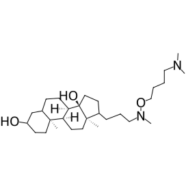 CN(C)CCCCON(C)CCCC1CC[C@@]2(O)[C@@H]3CCC4CC(O)CC[C@]4(C)[C@@H]3CC[C@]12C